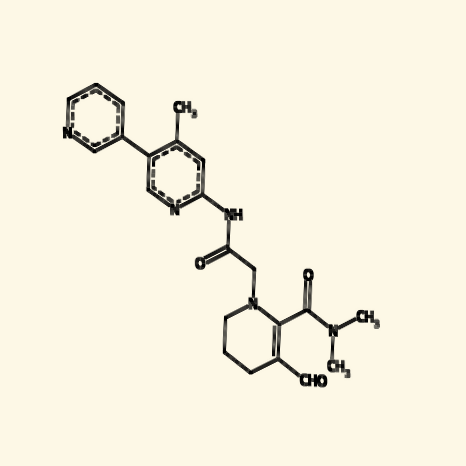 Cc1cc(NC(=O)CN2CCCC(C=O)=C2C(=O)N(C)C)ncc1-c1cccnc1